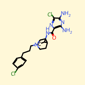 Nc1nc(N)c(C(=O)NC2C[N+]3(CCCc4ccc(Cl)cc4)CCC2CC3)nc1Cl